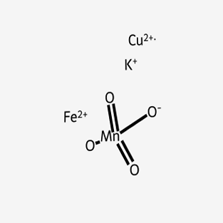 [Cu+2].[Fe+2].[K+].[O]=[Mn](=[O])([O-])[O-]